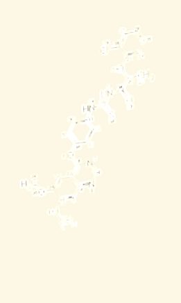 COc1cc2ncnc(Oc3ccc(NC(=S)NC(=O)C(C)Oc4ccccc4Cl)cc3)c2cc1OC